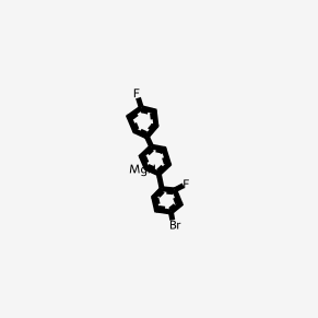 Fc1ccc(-c2ccc(-c3ccc(Br)cc3F)cc2)cc1.[MgH2]